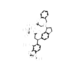 Cc1c(C(CC(=O)O)c2ccc3c(c2)C(N2Cc4ccccc4OC(C)(C)C2)CC3)ccc2c1nnn2C.O=CO